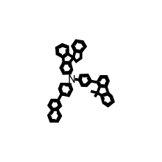 CC1(C)c2ccccc2-c2cccc(-c3ccc(N(c4ccc(-c5ccc6ccccc6c5)cc4)c4ccc5c(c4)C4(CCc6ccccc64)c4ccccc4-5)cc3)c21